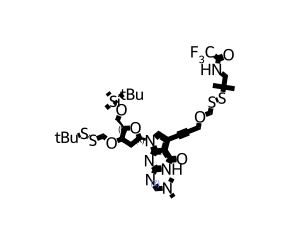 CN(C)/C=N\c1nc2c(c(C#CCOCSSC(C)(C)CNC(=O)C(F)(F)F)cn2[C@H]2CC(OCSSC(C)(C)C)[C@@H](CO[Si](C)(C)C(C)(C)C)O2)c(=O)[nH]1